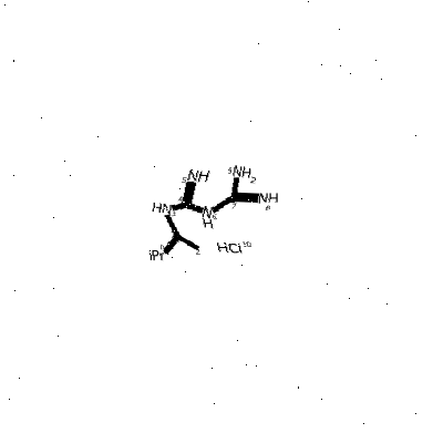 CC(C)C(C)NC(=N)NC(=N)N.Cl